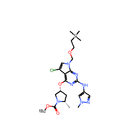 C[C@H]1C[C@@H](Oc2nc(Nc3cnn(C)c3)nc3c2c(Cl)cn3COCC[Si](C)(C)C)CN1C(=O)OC(C)(C)C